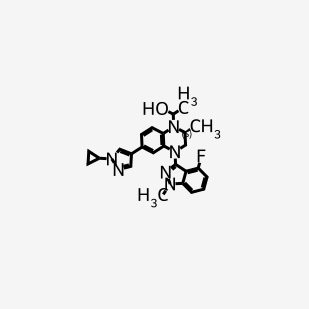 CC(O)N1c2ccc(-c3cnn(C4CC4)c3)cc2N(c2nn(C)c3cccc(F)c23)C[C@@H]1C